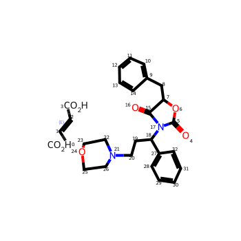 O=C(O)/C=C/C(=O)O.O=C1OC(Cc2ccccc2)C(=O)N1C(CCN1CCOCC1)c1ccccc1